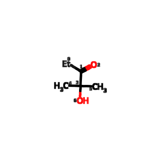 [CH2]CC(=O)C(C)(C)O